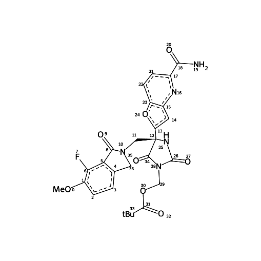 COc1ccc2c(c1F)C(=O)N(C[C@@]1(c3cc4nc(C(N)=O)ccc4o3)NC(=O)N(COC(=O)C(C)(C)C)C1=O)C2